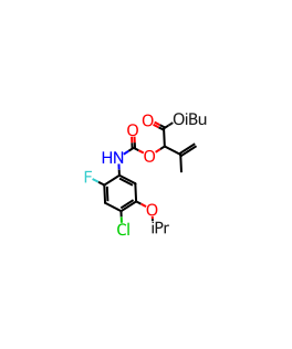 C=C(C)C(OC(=O)Nc1cc(OC(C)C)c(Cl)cc1F)C(=O)OCC(C)C